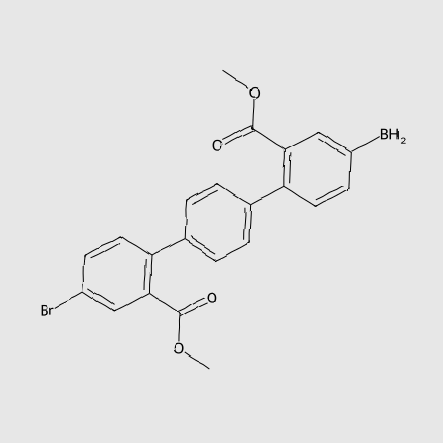 Bc1ccc(-c2ccc(-c3ccc(Br)cc3C(=O)OC)cc2)c(C(=O)OC)c1